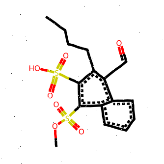 CCCCc1c(S(=O)(=O)O)c(S(=O)(=O)OC)c2ccccc2c1C=O